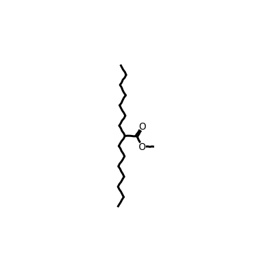 CCCCCCCC(CCCCCCC)C(=O)OC